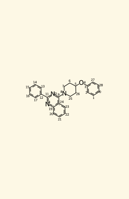 c1ccc(OC2CCN(c3nc(-c4ccccc4)nc4ccccc34)CC2)cc1